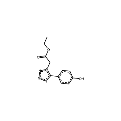 CCOC(=O)Cn1nnnc1-c1ccc(O)cc1